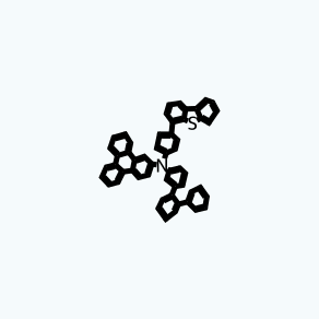 c1ccc(-c2ccccc2-c2cccc(N(c3ccc(-c4cccc5c4sc4ccccc45)cc3)c3ccc4c5ccccc5c5ccccc5c4c3)c2)cc1